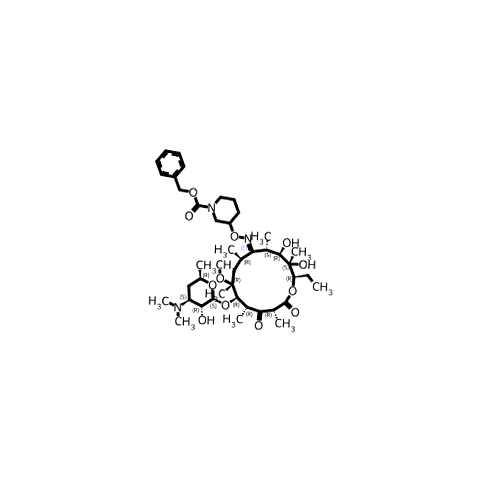 CC[C@H]1OC(=O)[C@H](C)C(=O)[C@H](C)[C@@H](O[C@@H]2O[C@H](C)C[C@H](N(C)C)[C@H]2O)[C@](C)(OC)C[C@@H](C)/C(=N\OC2CCCN(C(=O)OCc3ccccc3)C2)[C@H](C)[C@@H](O)[C@]1(C)O